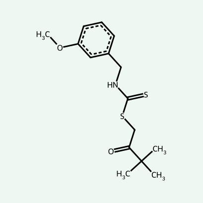 COc1cccc(CNC(=S)SCC(=O)C(C)(C)C)c1